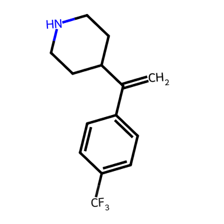 C=C(c1ccc(C(F)(F)F)cc1)C1CCNCC1